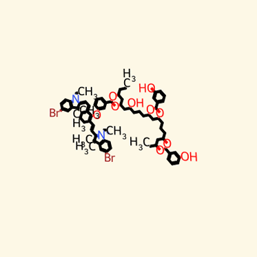 CCCC1CC(CC(O)CCCC2CC(CCCC3CC(CC)OC(c4cccc(O)c4)O3)OC(c3cccc(O)c3)O2)OC(c2cccc(OC3=C(/C=C/C4=[N+](CC)c5ccc(Br)cc5C4(C)C)CCC/C3=C\C=C3\N(CC)c4ccc(Br)cc4C3(C)C)c2)O1